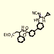 CCOC(=O)CC(NS(=O)(=O)c1cccc(-c2cccc(N/C(=N\C#N)NC3CC3)c2)c1)c1ccccc1